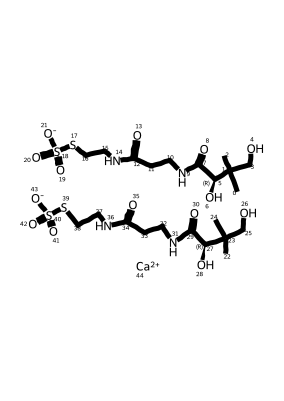 CC(C)(CO)[C@@H](O)C(=O)NCCC(=O)NCCSS(=O)(=O)[O-].CC(C)(CO)[C@@H](O)C(=O)NCCC(=O)NCCSS(=O)(=O)[O-].[Ca+2]